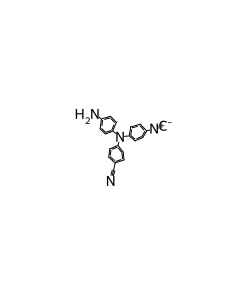 [C-]#[N+]c1ccc(N(c2ccc(N)cc2)c2ccc(C#N)cc2)cc1